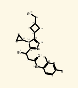 [CH2]CC(CC(=O)Nc1ccc(C)cc1C)c1nnc(C2CC(CC(C)C)C2)n1C1CC1